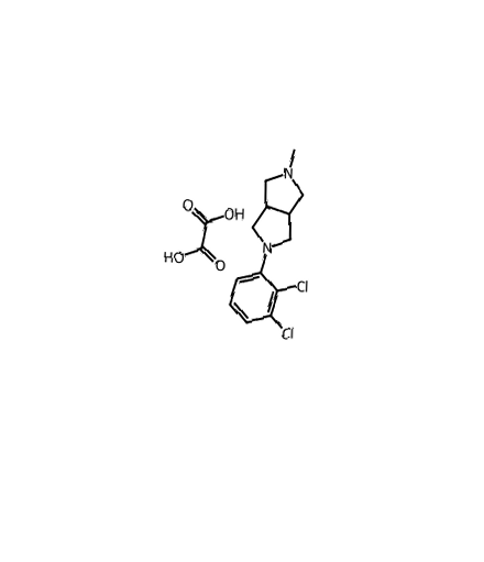 CN1CC2CN(c3cccc(Cl)c3Cl)CC2C1.O=C(O)C(=O)O